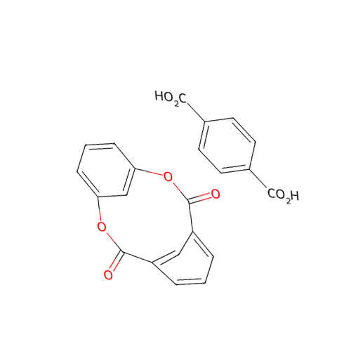 O=C(O)c1ccc(C(=O)O)cc1.O=c1oc2cccc(c2)oc(=O)c2cccc1c2